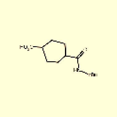 CCCCNC(=O)C1CCC(C(=O)O)CC1